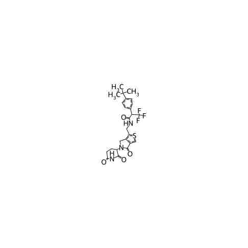 CC(C)(C)c1ccc(C(C(=O)NCc2scc3c2CN(C2CCC(=O)NC2=O)C3=O)C(F)(F)F)cc1